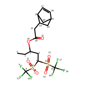 CCC(CC(S(=O)(=O)C(F)(F)F)S(=O)(=O)C(F)(F)F)OC(=O)CC1CC2C=CC1C2